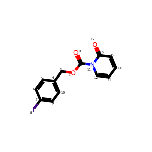 O=C(OCc1ccc(I)cc1)n1ccccc1=O